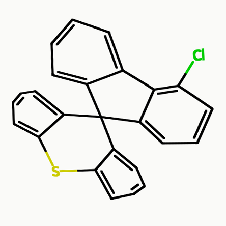 Clc1cccc2c1-c1ccccc1C21c2ccccc2Sc2ccccc21